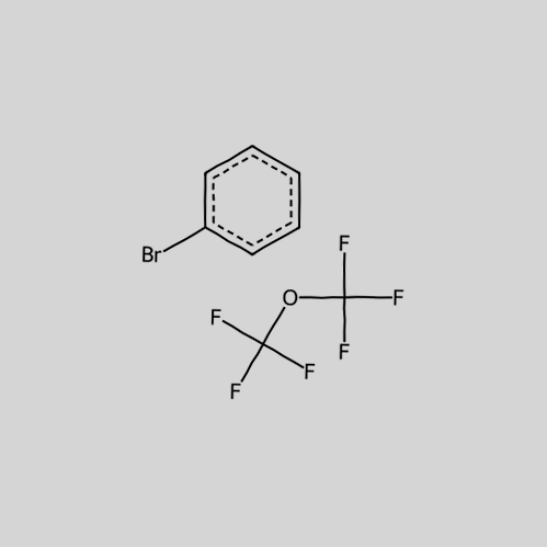 Brc1ccccc1.FC(F)(F)OC(F)(F)F